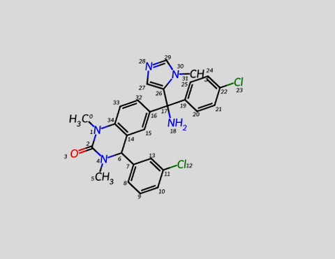 CN1C(=O)N(C)C(c2cccc(Cl)c2)c2cc(C(N)(c3ccc(Cl)cc3)c3cncn3C)ccc21